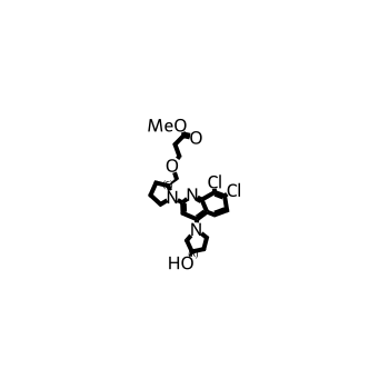 COC(=O)CCOC[C@@H]1CCCN1c1cc(N2CC[C@@H](O)C2)c2ccc(Cl)c(Cl)c2n1